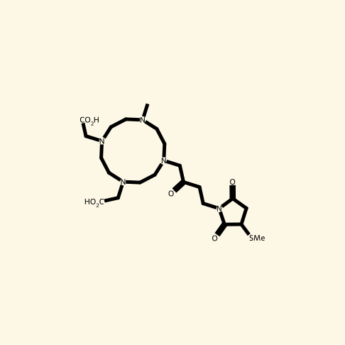 CSC1CC(=O)N(CCC(=O)CN2CCN(C)CCN(CC(=O)O)CCN(CC(=O)O)CC2)C1=O